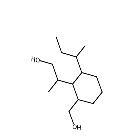 CCC(C)C1CCCC(CO)C1C(C)CO